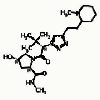 CNC(=O)[C@H]1C[C@H](O)CN1C(=O)[C@@H](n1cc(CCC2CCCCN2C)nn1)C(C)(C)C